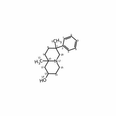 CC1(c2ccccc2)CCC2(C)CC(O)CCN2C1